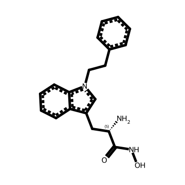 N[C@@H](Cc1cn(CCc2ccccc2)c2ccccc12)C(=O)NO